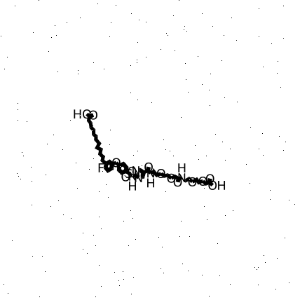 O=C(O)CCCCCCCCCCCCCc1cc(Oc2ccc(S(=O)(=O)Nc3ncc(C(=O)NCCOCCOCC(=O)NCCOCCOCC(=O)O)cn3)cc2)ccc1F